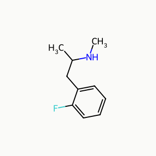 CNC(C)Cc1ccccc1F